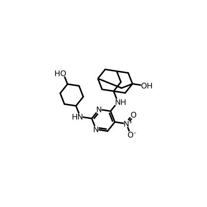 O=[N+]([O-])c1cnc(NC2CCC(O)CC2)nc1NC12CC3CC(CC(O)(C3)C1)C2